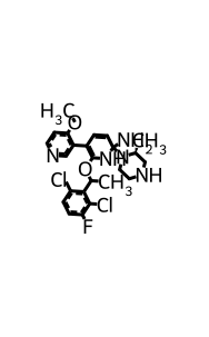 COc1ccncc1C1=C(OC(C)c2c(Cl)ccc(F)c2Cl)NC(N)(N2CCNC[C@@H]2C)C=C1